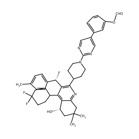 Cc1ccc([C@H](F)c2c(C3CCN(c4ncc(-c5cccc(OC=O)c5)cn4)CC3)nc3c(c2C2CCC(F)(F)CC2)[C@@H](O)CC(C)(C)C3)cc1